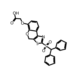 O=C(O)COc1cccc2c1OCc1sc(S(=O)(=O)C(c3ccccc3)c3ccccc3)nc1-2